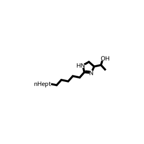 CCCCCCCCCCCCC1=NC(C(C)O)CN1